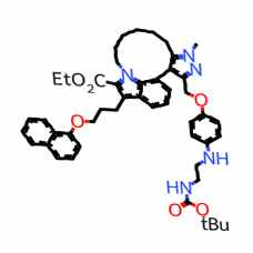 CCOC(=O)c1c(CCCOc2cccc3ccccc23)c2cccc3c2n1CCCCCCc1c-3c(COc2ccc(NCCNC(=O)OC(C)(C)C)cc2)nn1C